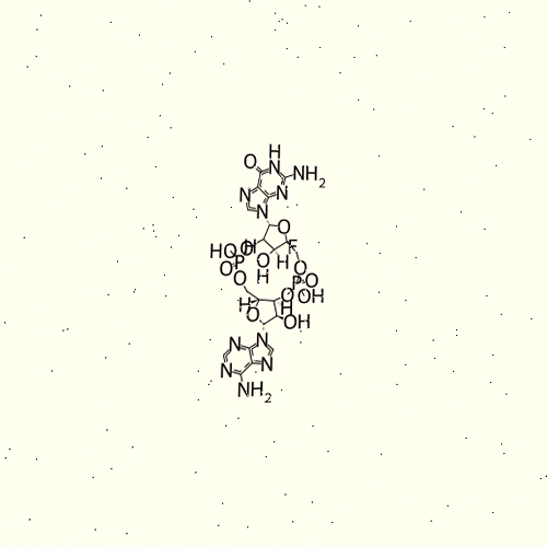 Nc1nc2c(ncn2[C@@H]2O[C@]3(F)COP(=O)(O)O[C@H]4[C@@H](O)[C@H](n5cnc6c(N)ncnc65)O[C@@H]4COP(=O)(O)O[C@@H]2[C@@H]3O)c(=O)[nH]1